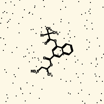 CCC(C)(C)C(=O)Oc1cc(C(=O)OC(CS(=O)(=O)O)C(F)(F)F)cc2ccccc12